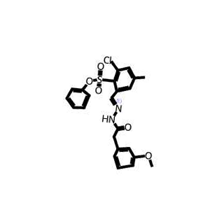 COc1cccc(CC(=O)N/N=C/c2cc(C)cc(Cl)c2S(=O)(=O)Oc2ccccc2)c1